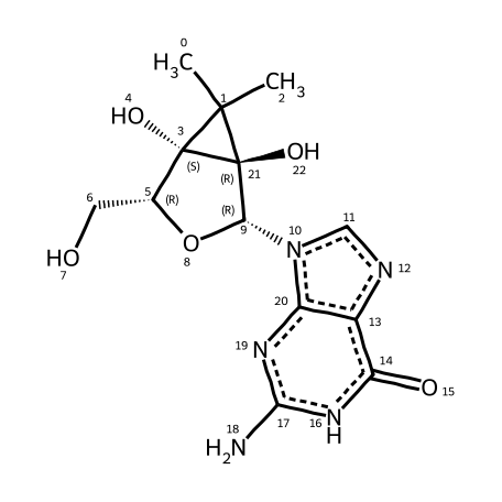 CC1(C)[C@]2(O)[C@@H](CO)O[C@@H](n3cnc4c(=O)[nH]c(N)nc43)[C@@]12O